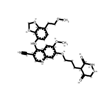 COCCc1ccc(Nc2c(C#N)cnc3cc(OCCCC4C(=O)CSNC4=O)c(OC)cc23)c2c1OCO2